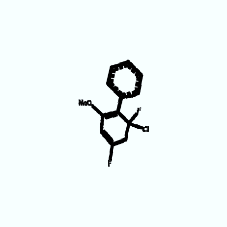 COC1=C(c2ccccc2)C(F)(Cl)CC(F)=C1